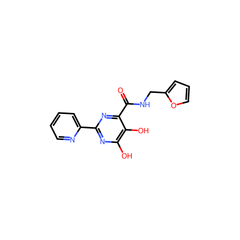 O=C(NCc1ccco1)c1nc(-c2ccccn2)nc(O)c1O